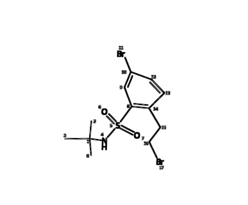 CC(C)(C)NS(=O)(=O)c1cc(Br)ccc1CCBr